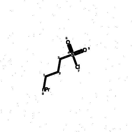 CCCCCCS(=O)(=O)Cl